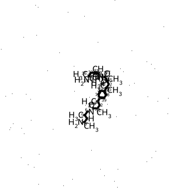 CC(N)CC(C)CNC(=O)C(C)CC(C)c1ccc(C(C)(C)CC(C)(C)C(=O)NCC(C)(C)CC(C)(C)N)cc1